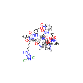 CC[C@H](C)[C@@H]([C@@H](CC(=O)N1CCC[C@H]1[C@H](OC)[C@@H](C)C(=O)N[C@@H](CC(C)C)C(=O)NS(=O)(=O)C1CC1)OC)N(C)C(=O)CNC(=O)C(C(C)C)N(C)C(=O)OCc1ccc(NC(=O)[C@H](C)NC(=O)CCCCCNc2nc(Cl)nc(Cl)n2)cc1